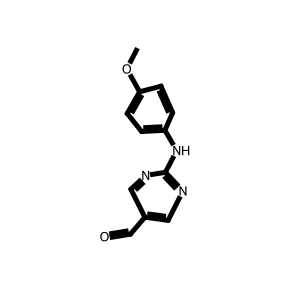 COc1ccc(Nc2ncc(C=O)cn2)cc1